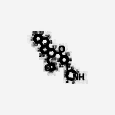 C1=CC=CNC=C1.O=C(c1ccc(F)cc1)C1C=c2c(ccc3c2=CCc2ccccc2-3)C(Cc2ccco2)C1